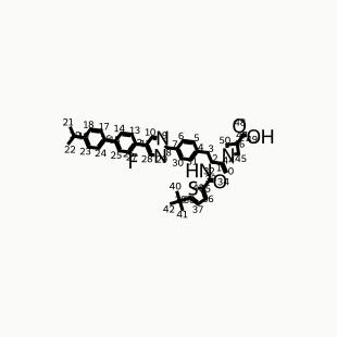 C=C(C(Cc1ccc(-c2ncc(-c3ccc(-c4ccc(C(C)C)cc4)cc3F)cn2)cc1)NC(=O)c1ccc(C(C)(C)C)s1)N1CC(C(=O)O)C1